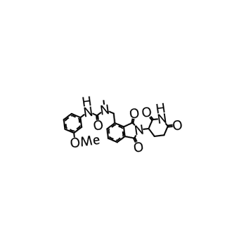 COc1cccc(NC(=O)N(C)Cc2cccc3c2C(=O)N(C2CCC(=O)NC2=O)C3=O)c1